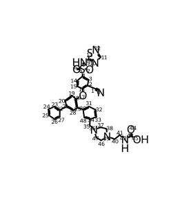 N#Cc1cc(S(=O)(=O)Nc2ncns2)ccc1Oc1ccc(-c2ccccc2)cc1-c1cccc(CN2CCN(CCNC(=O)O)CC2)c1